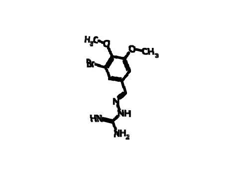 COc1cc(C=NNC(=N)N)cc(Br)c1OC